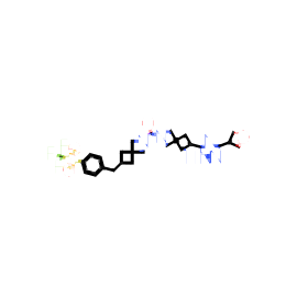 O=C(N1CC2(CC(Cc3ccc(S(=O)(=O)C(F)(F)F)cc3)C2)C1)N1CC2(CC(c3nc(C4COC4)n[nH]3)C2)C1